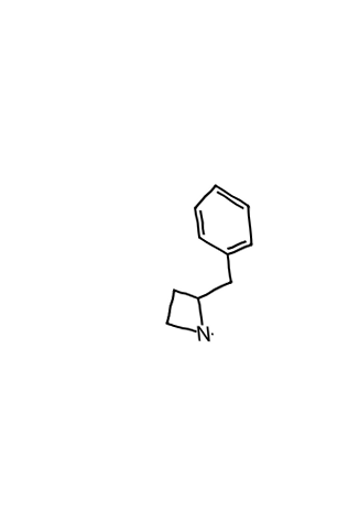 c1ccc(CC2CC[N]2)cc1